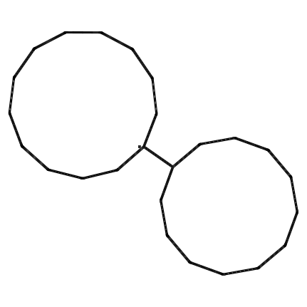 C1CCCCCC[C](C2CCCCCCCCCCC2)CCCCC1